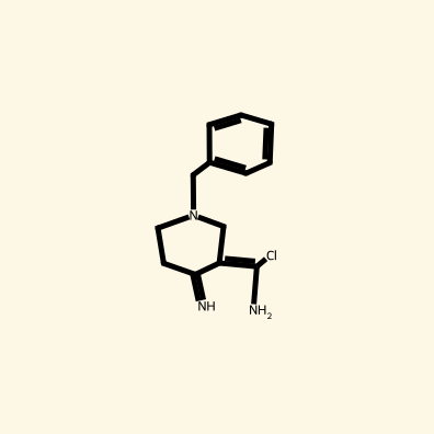 N=C1CCN(Cc2ccccc2)C/C1=C(/N)Cl